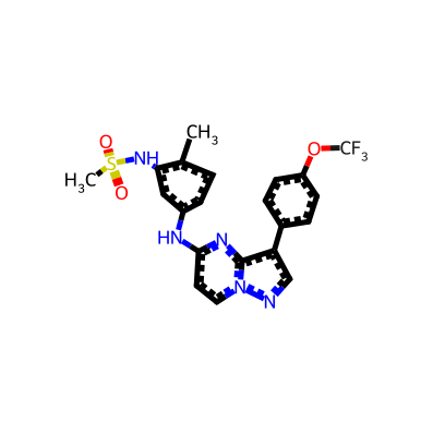 Cc1ccc(Nc2ccn3ncc(-c4ccc(OC(F)(F)F)cc4)c3n2)cc1NS(C)(=O)=O